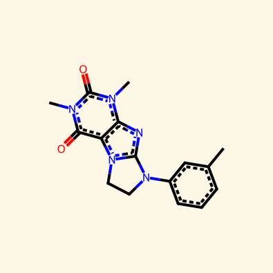 Cc1cccc(N2CCn3c2nc2c3c(=O)n(C)c(=O)n2C)c1